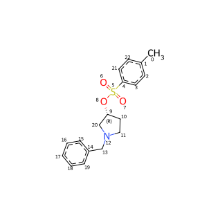 Cc1ccc(S(=O)(=O)O[C@@H]2CCN(Cc3ccccc3)C2)cc1